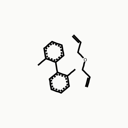 C=CCOCC=C.Cc1ccccc1-c1ccccc1C